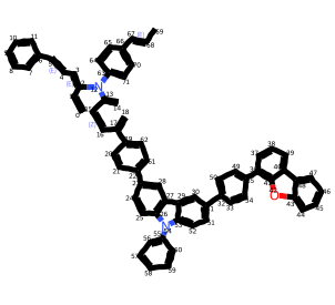 C=C/C(=C\C=C\c1ccccc1)N(C(=C)/C=C\C(=C)c1ccc(-c2ccc3c(c2)c2cc(-c4ccc(-c5cccc6c5oc5ccccc56)cc4)ccc2n3-c2ccccc2)cc1)c1ccc(/C=C/C)cc1